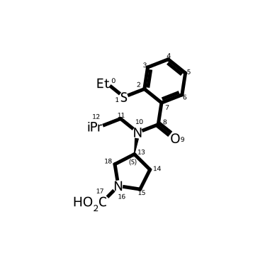 CCSc1ccccc1C(=O)N(CC(C)C)[C@H]1CCN(C(=O)O)C1